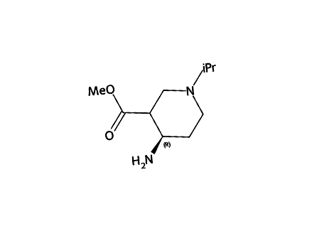 COC(=O)C1CN(C(C)C)CC[C@H]1N